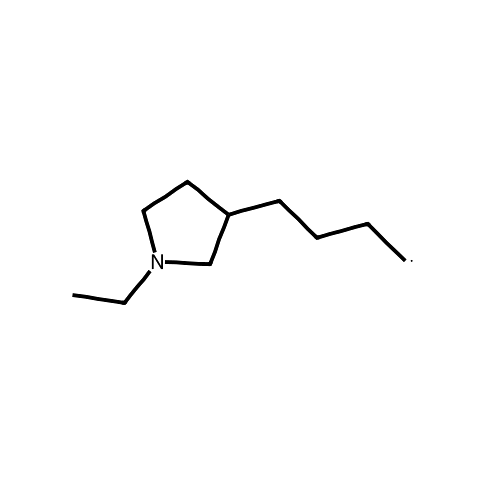 [CH2]CCCC1CCN(CC)C1